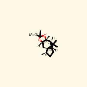 COC1(C)O[C@H]2C[C@@]34C[C@H](C(C)(C)[C@@H]3CC[C@H]4C)[C@@]2(C)O1